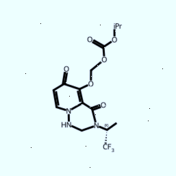 CC(C)OC(=O)OCOc1c2n(ccc1=O)NCN([C@H](C)C(F)(F)F)C2=O